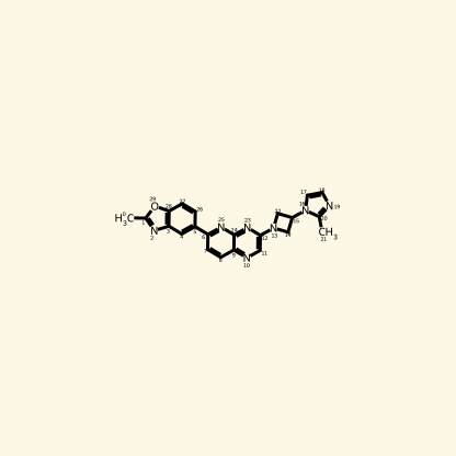 Cc1nc2cc(-c3ccc4ncc(N5CC(n6ccnc6C)C5)nc4n3)ccc2o1